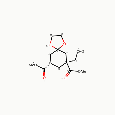 COC(=O)[C@@H]1CC2(C[C@@](CC=O)(C(=O)OC)C1)OCCO2